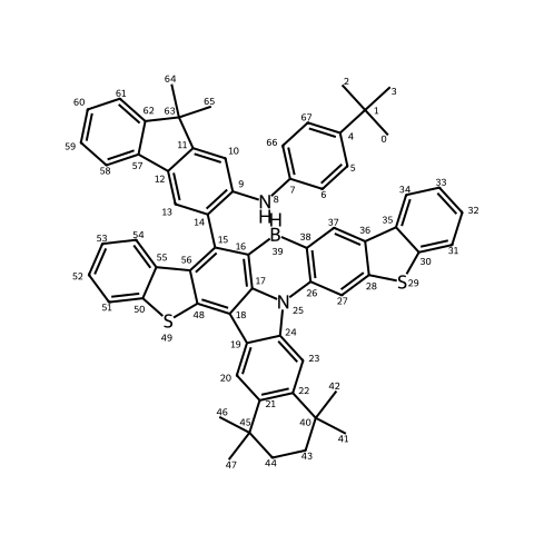 CC(C)(C)c1ccc(Nc2cc3c(cc2-c2c4c5c(c6cc7c(cc6n5-c5cc6sc8ccccc8c6cc5B4)C(C)(C)CCC7(C)C)c4sc5ccccc5c24)-c2ccccc2C3(C)C)cc1